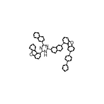 c1ccc(-c2ccc(-c3ccc4oc5cccc(-c6ccc7ccc(C8=NC(c9ccc%10ccccc%10c9)=NC(c9cccc%10oc%11ccccc%11c9%10)N8)cc7c6)c5c4c3)cc2)cc1